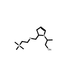 CC(CO)N1C=CCC1COCC[Si](C)(C)C